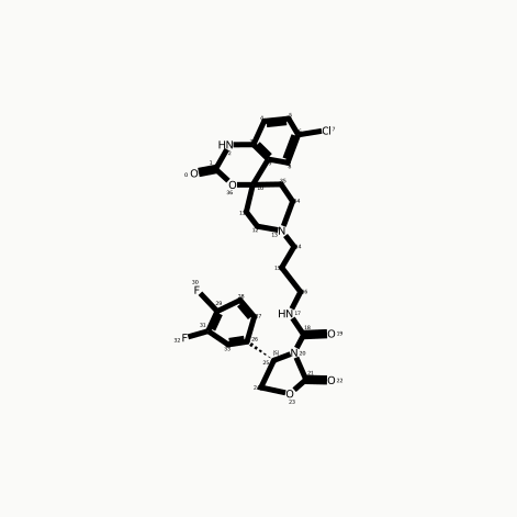 O=C1Nc2ccc(Cl)cc2C2(CCN(CCCNC(=O)N3C(=O)OC[C@@H]3c3ccc(F)c(F)c3)CC2)O1